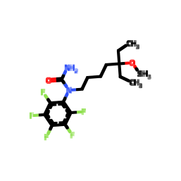 CCC(CC)(CCCCN(C(N)=O)c1c(F)c(F)c(F)c(F)c1F)O[SiH3]